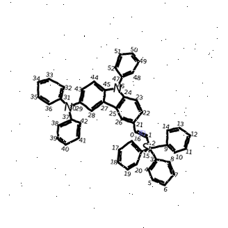 C(=C\[Si](c1ccccc1)(c1ccccc1)c1ccccc1)/c1ccc2c(c1)c1cc(N(c3ccccc3)c3ccccc3)ccc1n2-c1ccccc1